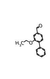 CCOc1cc(C=O)ccc1-c1ccccc1